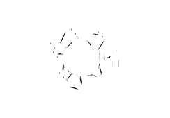 CCCC(=O)n1c2cncc(c2)c2cc3c(cn2)[nH]nc3c2nc3c(cccc3c3ccc1s3)[nH]2